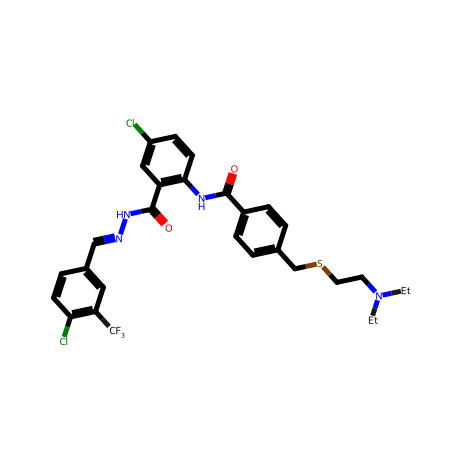 CCN(CC)CCSCc1ccc(C(=O)Nc2ccc(Cl)cc2C(=O)NN=Cc2ccc(Cl)c(C(F)(F)F)c2)cc1